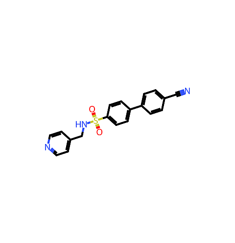 N#Cc1ccc(-c2ccc(S(=O)(=O)NCc3ccncc3)cc2)cc1